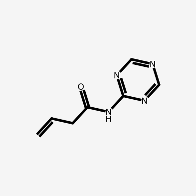 C=CCC(=O)Nc1ncncn1